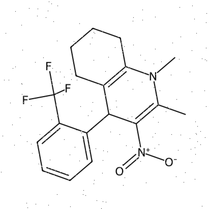 CC1=C([N+](=O)[O-])C(c2ccccc2C(F)(F)F)C2=C(CCCC2)N1C